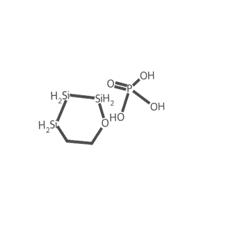 C1C[SiH2][SiH2][SiH2]O1.O=P(O)(O)O